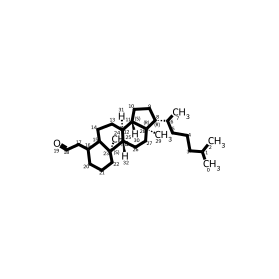 CC(C)CCCC(C)[C@H]1CC[C@H]2[C@@H]3CCC4C(CC=O)CCC[C@]4(C)[C@H]3CC[C@]12C